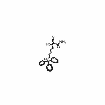 N#CC(C(N)=O)=C(O)CCCCCNC(c1ccccc1)(c1ccccc1)c1ccccc1